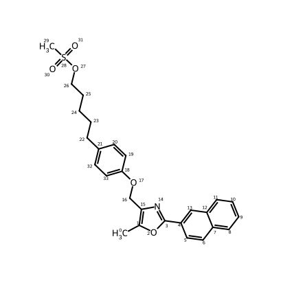 Cc1oc(-c2ccc3ccccc3c2)nc1COc1ccc(CCCCCOS(C)(=O)=O)cc1